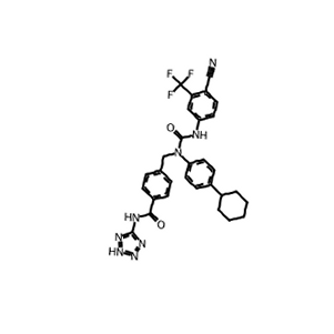 N#Cc1ccc(NC(=O)N(Cc2ccc(C(=O)Nc3nn[nH]n3)cc2)c2ccc(C3CCCCC3)cc2)cc1C(F)(F)F